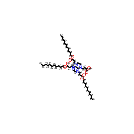 CCCCCCCCCCCOC(=O)CCN1CCN(CCC(=O)OCCCCCCCCCCC)C2C1N(CCC(=O)OC)CCN2CCC(=O)OCCCCCCCCCCC